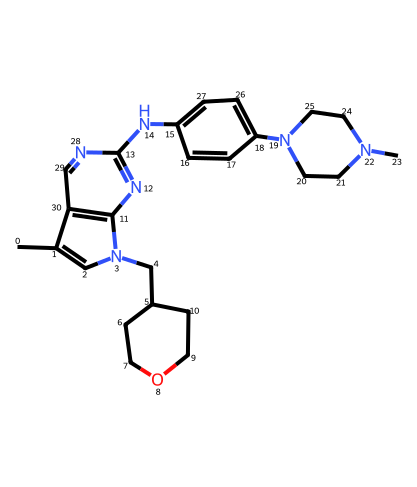 Cc1cn(CC2CCOCC2)c2nc(Nc3ccc(N4CCN(C)CC4)cc3)ncc12